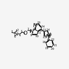 C[Si](C)(C)CCOCn1ccc2c(-c3cnn(-c4ccccc4)c3)ccnc21